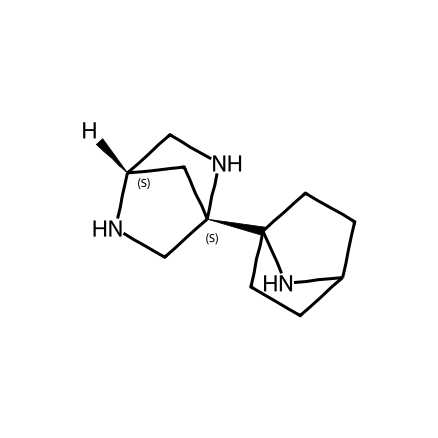 C1CC2([C@]34CN[C@H](CN3)C4)CCC1N2